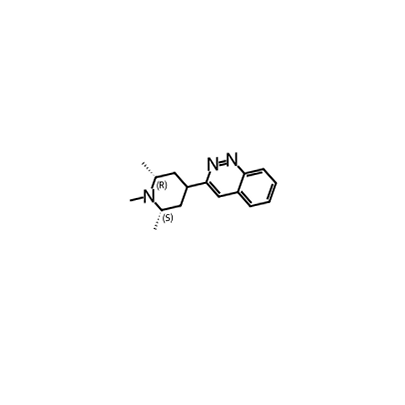 C[C@@H]1CC(c2cc3ccccc3nn2)C[C@H](C)N1C